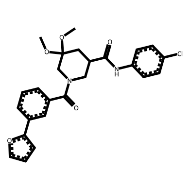 COC1(OC)CC(C(=O)Nc2ccc(Cl)cc2)CN(C(=O)c2cccc(-c3ccco3)c2)C1